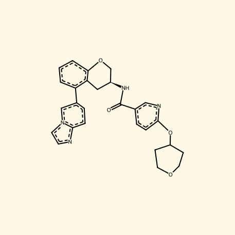 O=C(N[C@@H]1COc2cccc(-c3ccc4nccn4c3)c2C1)c1ccc(OC2CCOCC2)nc1